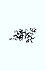 C/C=C(/C)C(=O)OC[C@H]1C2=C(C=C3[C@H]4N[C@@H](C(=O)c5c(O)c(C)c(OC)c(O)c54)C(=O)N31)C(=O)C(C)=C(C)C2=O